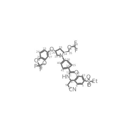 CCS(=O)(=O)c1ccc(C(CC#N)NC(=O)c2ccc(N3C[C@@H](Oc4ccc5c(c4)OC(F)(F)O5)C[C@H]3COC(F)F)cc2)cc1